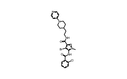 Cn1nc(C(=O)NCCC2CCN(c3ccncc3)CC2)c(Br)c1NC(=O)c1ccccc1Cl